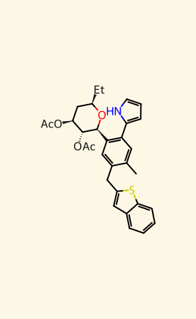 CC[C@@H]1C[C@H](OC(C)=O)[C@@H](OC(C)=O)[C@H](c2cc(Cc3cc4ccccc4s3)c(C)cc2-c2ccc[nH]2)O1